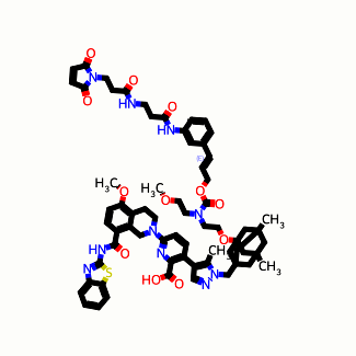 COCCN(CCOC12CC3(C)CC(C)(CC(Cn4ncc(-c5ccc(N6CCc7c(OC)ccc(C(=O)Nc8nc9ccccc9s8)c7C6)nc5C(=O)O)c4C)(C3)C1)C2)C(=O)OC/C=C/c1cc[c]c(NC(=O)CCNC(=O)CCN2C(=O)C=CC2=O)c1